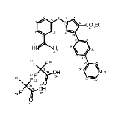 CCOC(=O)c1cn(Cc2cccc(C(=N)N)c2)cc1-c1ccc(-c2cccnc2)cc1.O=C(O)C(F)(F)F.O=C(O)C(F)(F)F